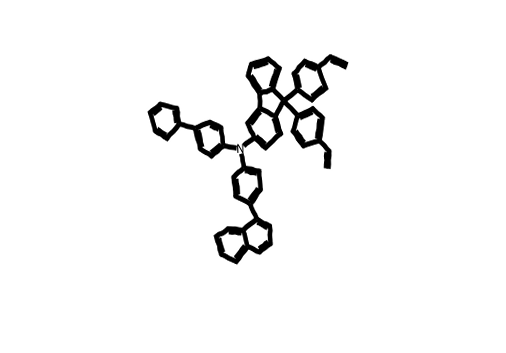 C=Cc1ccc(C2(c3ccc(C=C)cc3)c3ccccc3-c3cc(N(c4ccc(-c5ccccc5)cc4)c4ccc(-c5cccc6ccccc56)cc4)ccc32)cc1